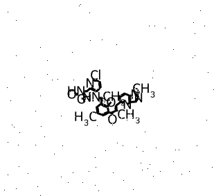 Cc1cc([C@@H](C)Nc2ccc(Cl)nc2-c2noc(=O)[nH]2)c2oc(-c3ccc4c(cnn4C)n3)c(C)c(=O)c2c1